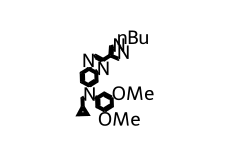 CCCCn1cc(-c2cnc3ccc(N(CC4CC4)c4cc(OC)cc(OC)c4)cc3n2)cn1